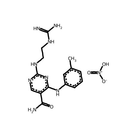 Cc1cccc(Nc2nc(NCCNC(=N)N)ncc2C(N)=O)c1.O=[N+]([O-])O